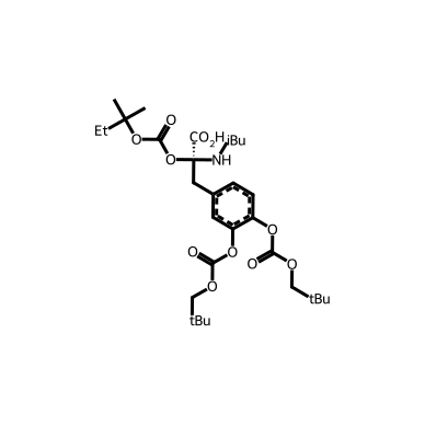 CCC(C)N[C@@](Cc1ccc(OC(=O)OCC(C)(C)C)c(OC(=O)OCC(C)(C)C)c1)(OC(=O)OC(C)(C)CC)C(=O)O